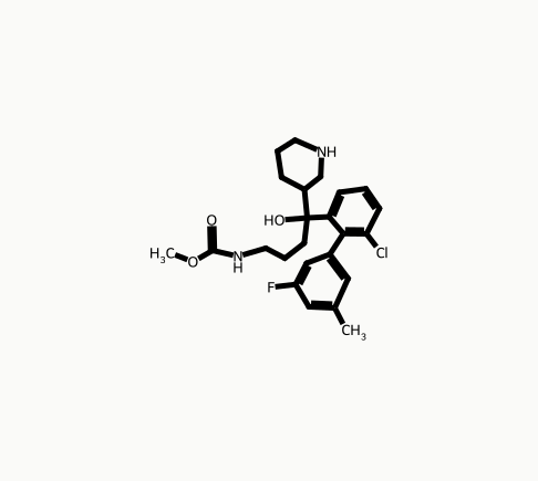 COC(=O)NCCCC(O)(c1cccc(Cl)c1-c1cc(C)cc(F)c1)C1CCCNC1